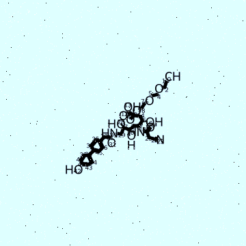 C#CCOCCOCCO[C@]1(C(=O)O)C[C@H](O)[C@@H](NC(=O)CC#N)[C@H]([C@H](O)[C@H](O)CNC(=O)Cc2ccc(-c3ccc(O)cc3)cc2)O1